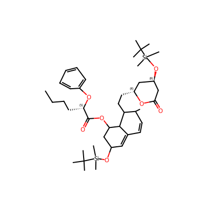 CCCC[C@H](Oc1ccccc1)C(=O)OC1CC(O[Si](C)(C)C(C)(C)C)C=C2C=CC(C)C(CC[C@@H]3C[C@@H](O[Si](C)(C)C(C)(C)C)CC(=O)O3)C21